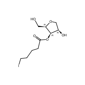 O=C(CCCCI)O[C@@H]1[C@H](O)CO[C@@H]1CO